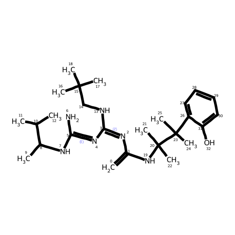 C=C(/N=C(\N=C(/N)NC(C)C(C)C)NCC(C)(C)C)NC(C)(C)C(C)(C)c1ccccc1O